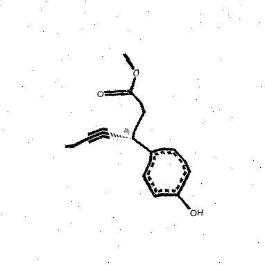 CC#C[C@H](CC(=O)OC)c1ccc(O)cc1